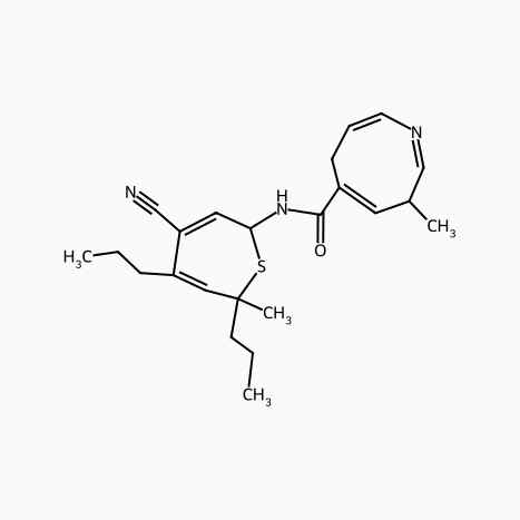 CCCC1=CC(C)(CCC)SC(NC(=O)/C2=C/C(C)/C=N\C=C/C2)C=C1C#N